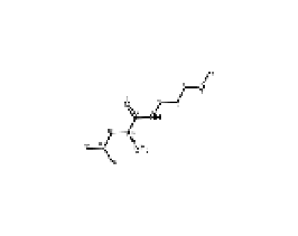 COCCCNC(=O)[C@@H](N)CC(C)C